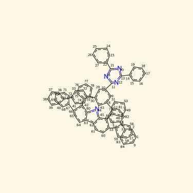 c1ccc(-c2ccc(-c3cc(-c4nc(-c5ccccc5)nc(-c5ccccc5)n4)cc(-c4ccc(-c5ccccc5)cc4)c3-n3c4c(-c5ccccc5)c(-c5ccccc5)ccc4c4ccc(-c5ccccc5)c(-c5ccccc5)c43)cc2)cc1